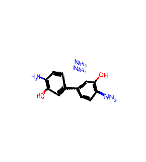 N.N.Nc1ccc(-c2ccc(N)c(O)c2)cc1O